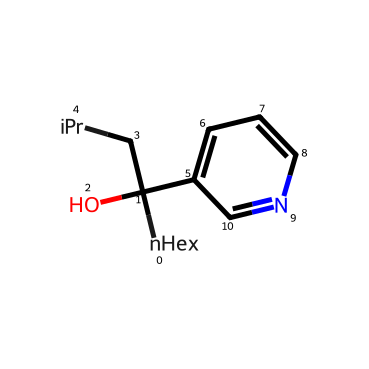 CCCCCCC(O)(CC(C)C)c1cccnc1